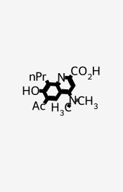 CCCc1c(O)c(C(C)=O)cc2c(N(C)C)cc(C(=O)O)nc12